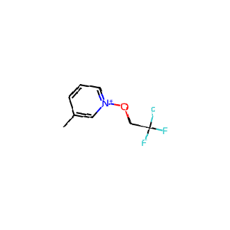 Cc1ccc[n+](OCC(F)(F)F)c1